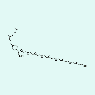 CC(C)CCCC(C)CCCC1CCC(C(CO)OCCOCCOCCOCCOCCOCCOCCOCCOCCO)CC1